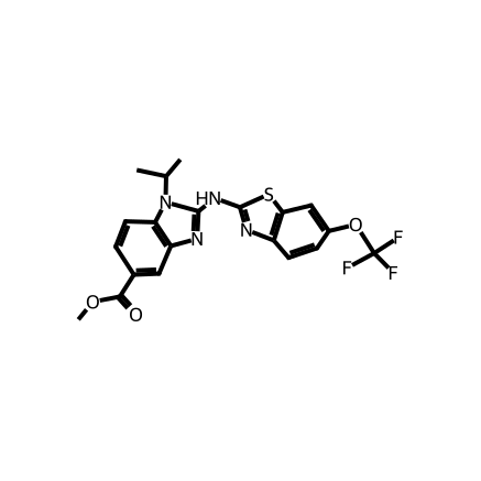 COC(=O)c1ccc2c(c1)nc(Nc1nc3ccc(OC(F)(F)F)cc3s1)n2C(C)C